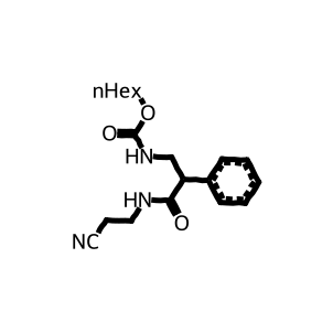 CCCCCCOC(=O)NCC(C(=O)NCCC#N)c1ccccc1